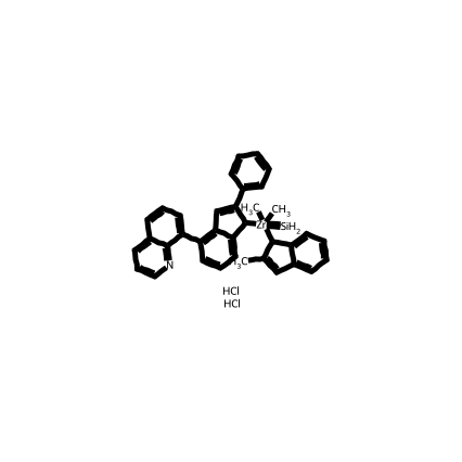 CC1=Cc2ccccc2[CH]1[Zr]([CH3])([CH3])(=[SiH2])[CH]1C(c2ccccc2)=Cc2c(-c3cccc4cccnc34)cccc21.Cl.Cl